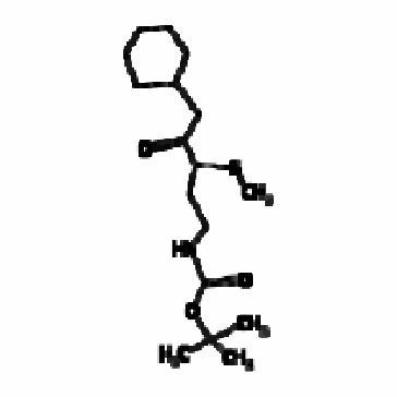 CSC(CCNC(=O)OC(C)(C)C)C(=O)CC1CCCCC1